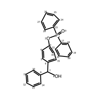 O=P(Oc1ccc(C(O)c2ccccc2)cc1)(c1ccccc1)c1ccccc1